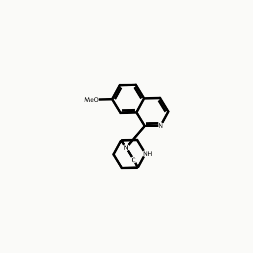 COc1ccc2ccnc(N3CC4CCC3CN4)c2c1